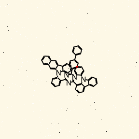 c1ccc(-c2ccc(-c3nc(-c4ccccc4-n4c5ccccc5c5cc6ccccc6cc54)nc(-c4cccc5c6ccccc6n(-c6ccccc6)c45)n3)cc2)cc1